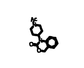 CC(=O)N1CCC(N2C(=O)OCc3ccccc32)CC1